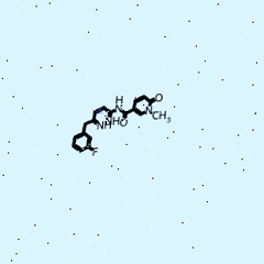 Cn1cc(C(=O)NC(=N)/C=C\C(=N)Cc2cccc(F)c2)ccc1=O